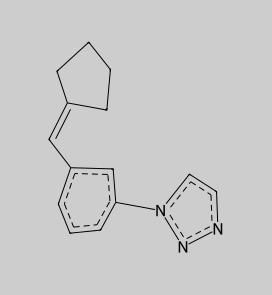 C(=C1CCCC1)c1cccc(-n2ccnn2)c1